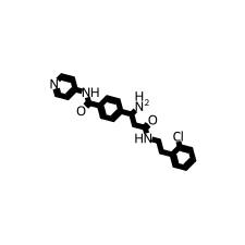 NC(CC(=O)NCCc1ccccc1Cl)c1ccc(C(=O)Nc2ccncc2)cc1